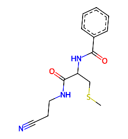 CSCC(NC(=O)c1ccccc1)C(=O)NCCC#N